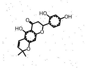 CC1(C)C=Cc2c(cc3c(c2O)C(=O)CC(c2ccc(O)cc2O)O3)O1